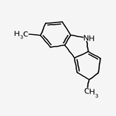 Cc1ccc2[nH]c3c(c2c1)=CC(C)CC=3